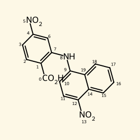 O=C(O)c1ccc([N+](=O)[O-])cc1Nc1ccc([N+](=O)[O-])c2ccccc12